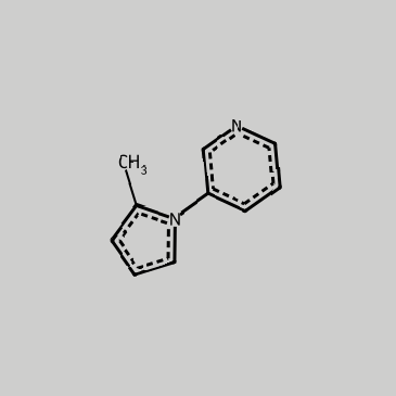 Cc1cccn1-c1cccnc1